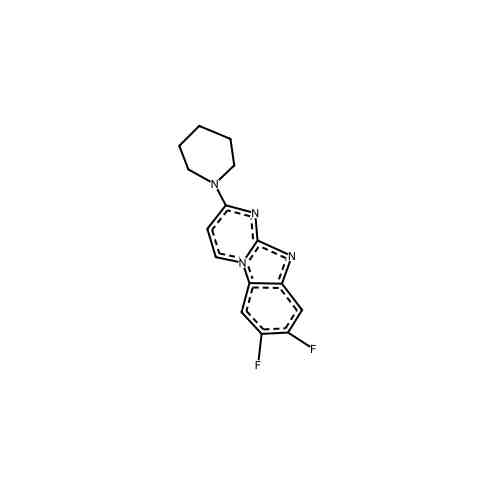 Fc1cc2nc3nc(N4CCCCC4)ccn3c2cc1F